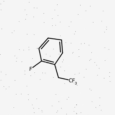 Fc1[c]cccc1CC(F)(F)F